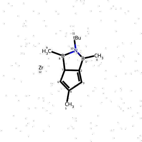 CB1C2=CC(C)=CC2B(C)N1C(C)(C)C.[Zr]